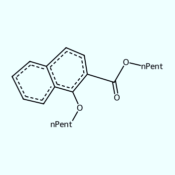 CCCCCOC(=O)c1ccc2ccccc2c1OCCCCC